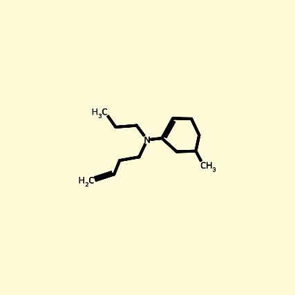 C=CCCN(CCC)C1=CCCC(C)C1